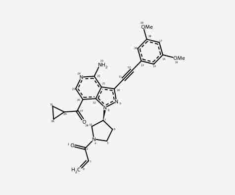 C=CC(=O)N1CC[C@H](n2nc(C#Cc3cc(OC)cc(OC)c3)c3c(N)ncc(C(=O)C4CC4)c32)C1